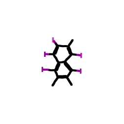 Cc1c(C)c(I)c2c(I)c(I)c(C)c(I)c2c1I